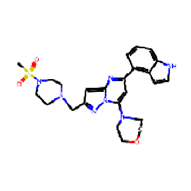 CS(=O)(=O)N1CCN(Cc2cc3nc(-c4cccc5[nH]ccc45)cc(N4CCOCC4)n3n2)CC1